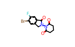 O=C1c2cc(F)c(Br)cc2CN1N1C(=O)CCCC1=O